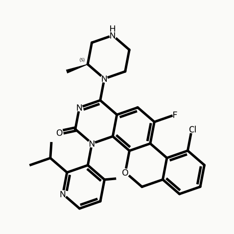 Cc1ccnc(C(C)C)c1-n1c(=O)nc(N2CCNC[C@@H]2C)c2cc(F)c3c(c21)OCc1cccc(Cl)c1-3